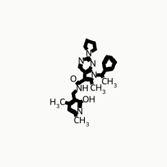 Cc1cc(C)c(CNC(=O)c2c(C)n(C(C)c3ccccc3)c3nc(N4CCCC4)ncc23)c(O)n1